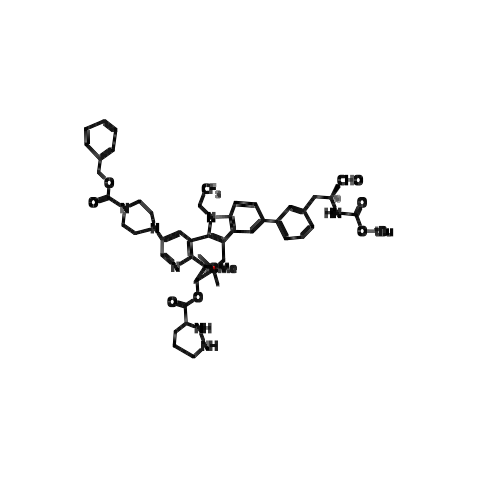 CO[C@@H](C)c1ncc(N2CCN(C(=O)OCc3ccccc3)CC2)cc1-c1c(CC(C)(C)COC(=O)C2CCCNN2)c2cc(-c3cccc(C[C@@H](C=O)NC(=O)OC(C)(C)C)c3)ccc2n1CC(F)(F)F